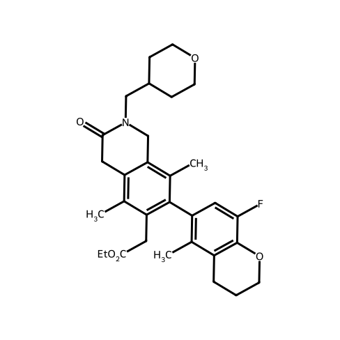 CCOC(=O)Cc1c(C)c2c(c(C)c1-c1cc(F)c3c(c1C)CCCO3)CN(CC1CCOCC1)C(=O)C2